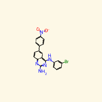 Nc1nc(Nc2cccc(Br)c2)c2cc(-c3ccc([N+](=O)[O-])cc3)ccc2n1